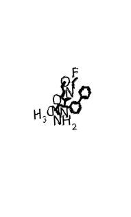 CN1C(=O)C(c2cccc(-c3ccccc3)c2)(c2cc(C=O)n(CCCF)c2)N=C1N